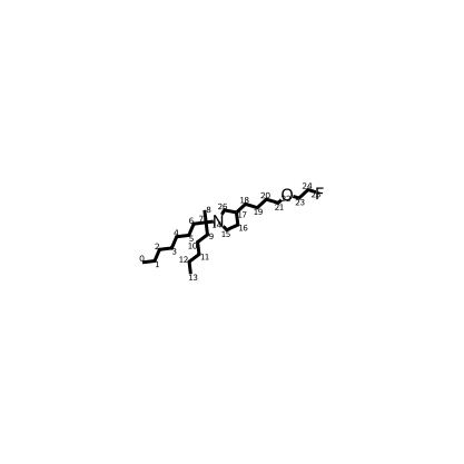 CCCCCCCC(C)(CCCCC)N1CCC(CCCCOCCF)C1